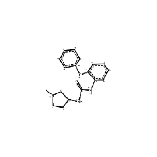 CN1CCC(NC(=O)Nc2ccccc2Oc2ccccc2)C1